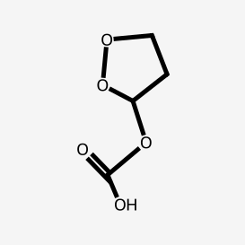 O=C(O)OC1CCOO1